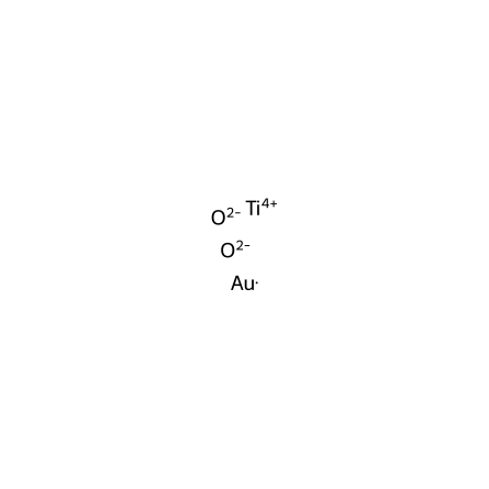 [Au].[O-2].[O-2].[Ti+4]